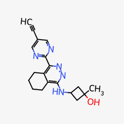 C#Cc1cnc(-c2nnc(NC3CC(C)(O)C3)c3c2CCCC3)nc1